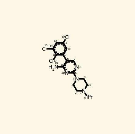 CC(C)N1CCN(c2ncc(-c3cc(Cl)cc(Cl)c3Cl)c(N)n2)CC1